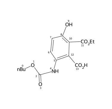 CCCCOC(=O)Nc1ccc(O)c(C(=O)OCC)c1C(=O)O